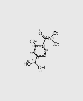 CCN(CC)C(=O)c1ccc(B(O)O)cc1Cl